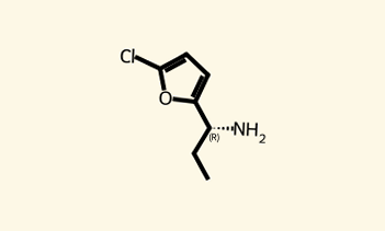 CC[C@@H](N)c1ccc(Cl)o1